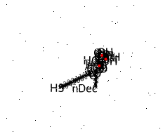 CCCCCCCCCCCCCCCC(=O)O[C@H](COC(=O)CCCCCCCCCCCCCCS)COP(=O)(O)OC1C(O)[C@@H](O)C(OP(=O)(O)O)[C@@H](OP(=O)(O)O)[C@H]1O